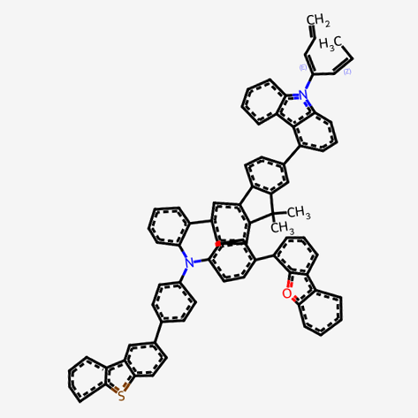 C=C/C=C(\C=C/C)n1c2ccccc2c2c(-c3ccc4c(c3)C(C)(C)c3ccc(-c5ccccc5N(c5ccc(-c6ccc7sc8ccccc8c7c6)cc5)c5ccc(-c6cccc7c6oc6ccccc67)cc5)cc3-4)cccc21